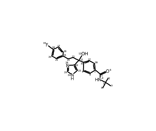 CC(C)(C)NC(=O)c1ccc(C(O)(CCc2ccc(F)cc2)c2c[nH]cn2)cc1